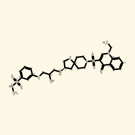 CCn1cc(S(=O)(=O)N2CCC3(CC2)C[C@@H](NCC(O)COc2cccc(S(=O)(=O)NC)c2)CO3)c(=O)c2ccccc21